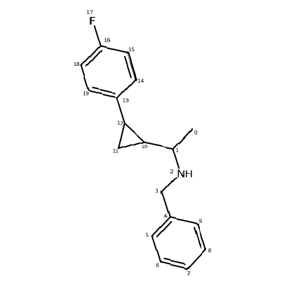 CC(NCc1ccccc1)C1CC1c1ccc(F)cc1